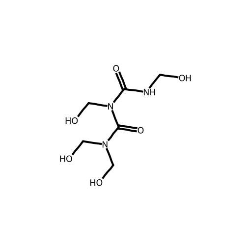 O=C(NCO)N(CO)C(=O)N(CO)CO